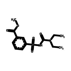 CCN(CC)C(=O)NS(=O)(=O)c1cccc(C(=O)OC)c1